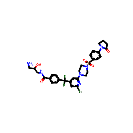 NCC(O)CNC(=O)c1ccc(C(F)(F)c2cc(Cl)nc(N3CCN(S(=O)(=O)c4ccc(N5CCCC5=O)cc4)CC3)c2)cc1